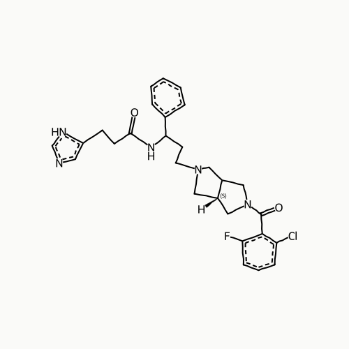 O=C(CCc1cnc[nH]1)NC(CCN1CC2CN(C(=O)c3c(F)cccc3Cl)C[C@@H]2C1)c1ccccc1